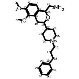 COc1ccc2c(c1OC)CC(C1CCN(CCCc3ccccc3)CC1)OC2CN